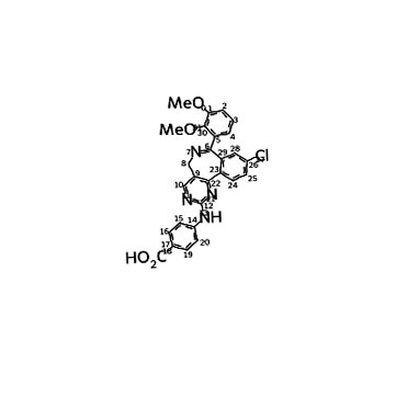 COc1cccc(C2=NCc3cnc(Nc4ccc(C(=O)O)cc4)nc3-c3ccc(Cl)cc32)c1OC